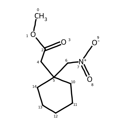 COC(=O)CC1(C[N+](=O)[O-])CCCCC1